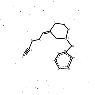 N#CCC/C=C1/CCCN(Cc2ccccc2)C1